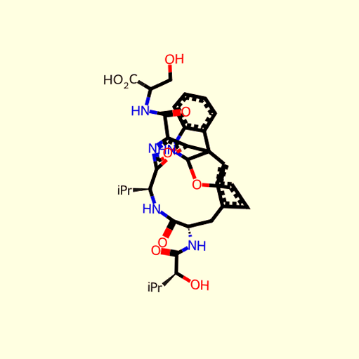 CC(C)[C@H](O)C(=O)N[C@H]1Cc2ccc3c(c2)C2(c4ccccc4NC2O3)c2oc(nc2C(=O)NC(CO)C(=O)O)[C@H](C(C)C)NC1=O